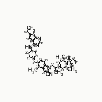 Cc1c(CN2CCC(Nc3ncnc4sc(CC(F)(F)F)cc34)CC2)ccc2c1cc(C#N)n2CC(C)N1C[C@@H](C)N(S(=O)(=O)CF)[C@H](C)C1